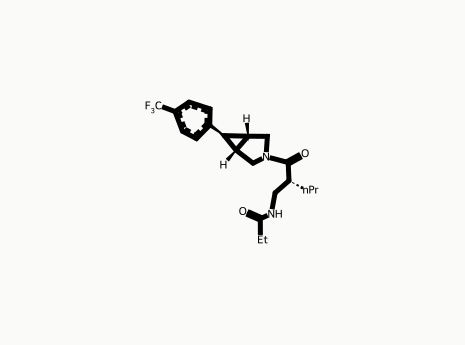 CCC[C@H](CNC(=O)CC)C(=O)N1C[C@@H]2[C@H](C1)[C@H]2c1ccc(C(F)(F)F)cc1